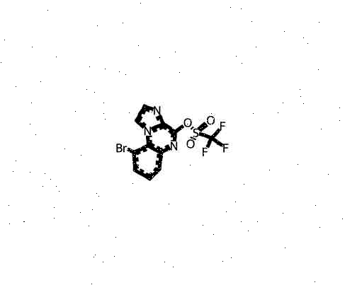 O=S(=O)(Oc1nc2cccc(Br)c2n2ccnc12)C(F)(F)F